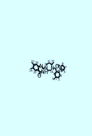 Cc1ccc(-n2cccn2)c(C(=O)N2CCN(c3nc4cc(C)c(C)cc4c(=O)[nH]3)CCC2C)c1